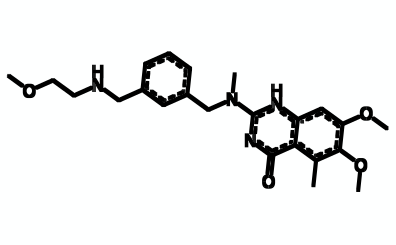 COCCNCc1cccc(CN(C)c2nc(=O)c3c(C)c(OC)c(OC)cc3[nH]2)c1